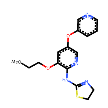 COCCOc1cc(Oc2cccnc2)cnc1NC1=NCCS1